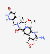 COC[C@@H](C)N(Cc1ccc(Br)nn1)C(=O)c1cc2c3c(c(N)nc2cn1)COC3